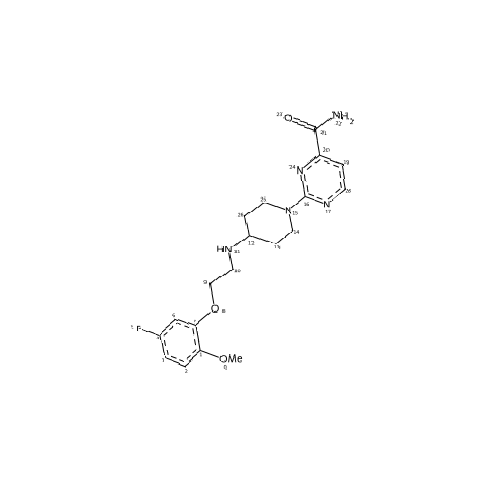 COc1ccc(F)cc1OCCNC1CCN(c2nccc(C(N)=O)n2)CC1